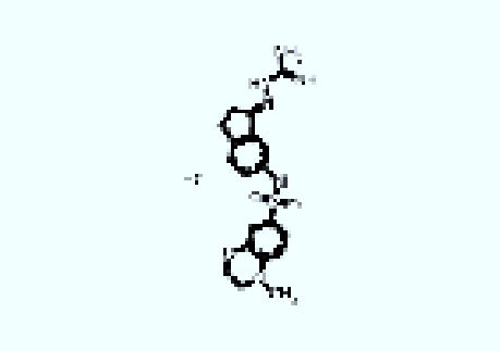 CN1CCOc2cc(S(=O)(=O)Nc3ccc4c(c3)/C(=N/NC(=N)N)CC4)ccc21.Cl